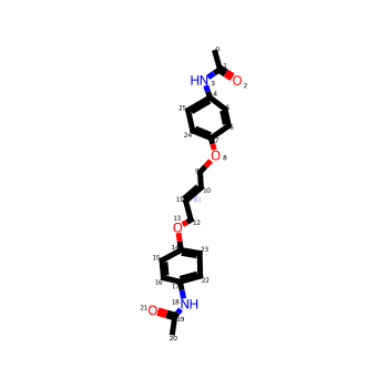 CC(=O)Nc1ccc(OC/C=C/COc2ccc(NC(C)=O)cc2)cc1